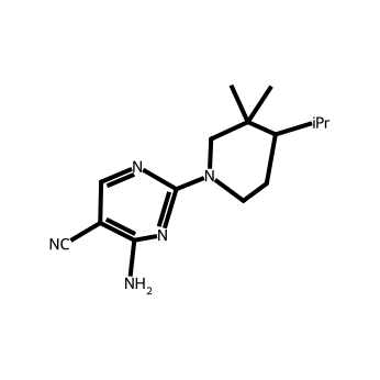 CC(C)C1CCN(c2ncc(C#N)c(N)n2)CC1(C)C